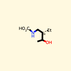 CC[C@@H](CNC(=O)O)C(C)O